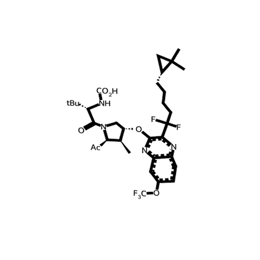 CC(=O)[C@@H]1[C@H](C)[C@@H](Oc2nc3cc(OC(F)(F)F)ccc3nc2C(F)(F)CCCC[C@@H]2CC2(C)C)CN1C(=O)[C@@H](NC(=O)O)C(C)(C)C